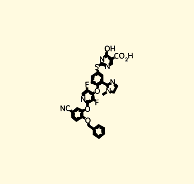 CN1CC=NC1c1cc(Sc2ncc(C(=O)O)c(O)n2)ccc1Oc1c(F)cnc(Oc2cc(C#N)ccc2OCc2ccccc2)c1F